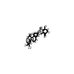 Cc1ccc(F)c(COc2ccc3c(c2)CCN(C(=O)CC(C)(C)C)C3C(C)C)c1F